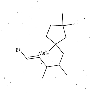 CCC=CC(C)C(C)CC1(NC)CCC(C)(C)C1